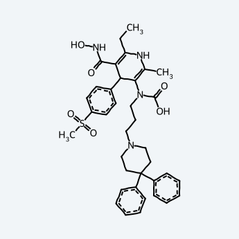 CCC1=C(C(=O)NO)C(c2ccc(S(C)(=O)=O)cc2)C(N(CCCN2CCC(c3ccccc3)(c3ccccc3)CC2)C(=O)O)=C(C)N1